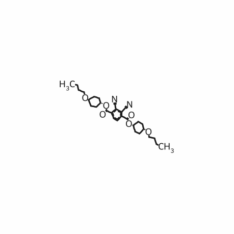 CCCCO[C@H]1CC[C@H](OC(=O)c2ccc(C(=O)O[C@H]3CC[C@H](OCCCC)CC3)c(C#N)c2C#N)CC1